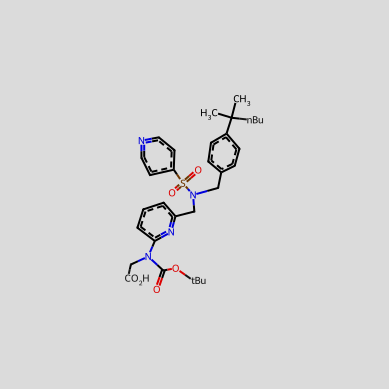 CCCCC(C)(C)c1ccc(CN(Cc2cccc(N(CC(=O)O)C(=O)OC(C)(C)C)n2)S(=O)(=O)c2ccncc2)cc1